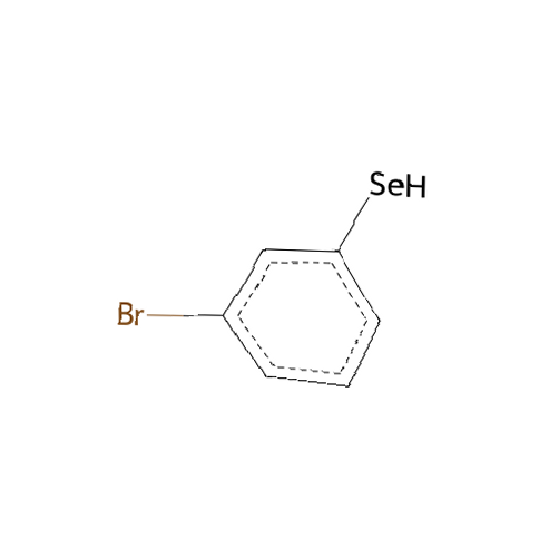 [SeH]c1cccc(Br)c1